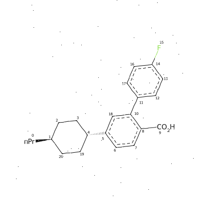 CCC[C@H]1CC[C@H](c2ccc(C(=O)O)c(-c3ccc(F)cc3)c2)CC1